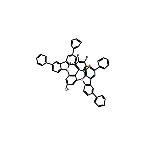 N#Cc1cc(-n2c3ccc(-c4ccccc4)cc3c3cc(-c4ccccc4)ccc32)c(-c2c(F)c(F)c(F)c(F)c2F)c(-n2c3ccc(-c4ccccc4)cc3c3cc(-c4ccccc4)ccc32)c1